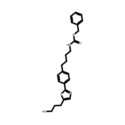 O=C(NCCCCc1ccc(-c2ncc(CCCO)s2)cc1)OCc1ccccc1